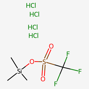 C[Si](C)(C)OS(=O)(=O)C(F)(F)F.Cl.Cl.Cl.Cl